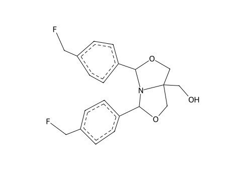 OCC12COC(c3ccc(CF)cc3)N1C(c1ccc(CF)cc1)OC2